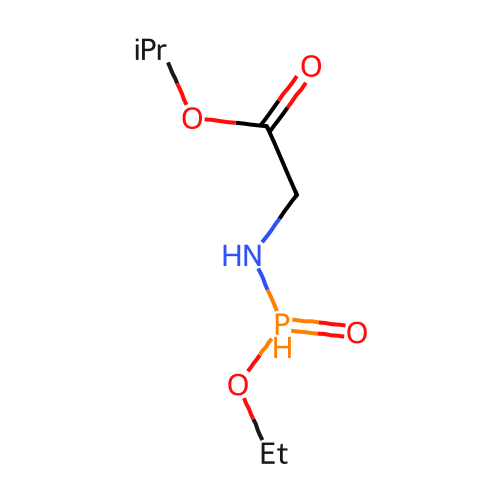 CCO[PH](=O)NCC(=O)OC(C)C